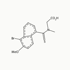 COc1ccc2c(C(=S)N(C)CC(=O)O)cccc2c1Br